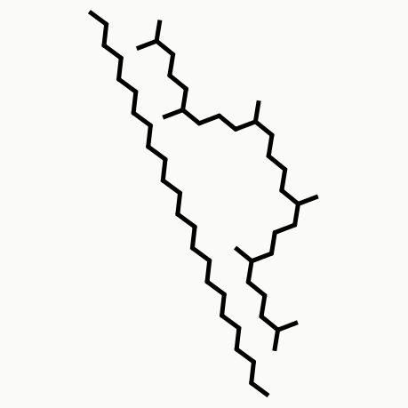 CC(C)CCCC(C)CCCC(C)CCCCC(C)CCCC(C)CCCC(C)C.CCCCCCCCCCCCCCCCCCCCCCCC